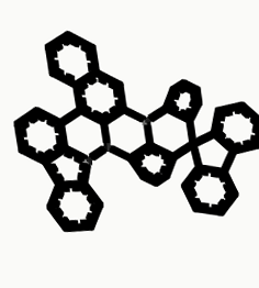 c1ccc2c(c1)-c1ccccc1C21c2ccccc2N2c3cc4ccccc4c4c3B(c3cccc1c32)n1c2ccccc2c2cccc-4c21